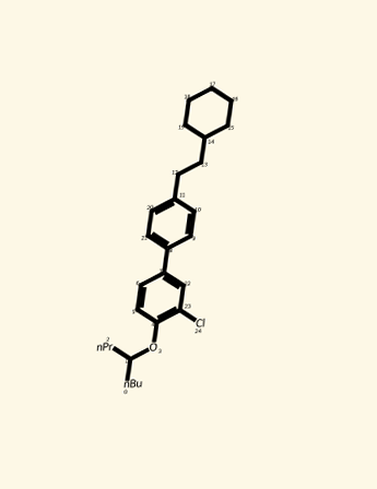 CCCCC(CCC)Oc1ccc(-c2ccc(CCC3CC[CH]CC3)cc2)cc1Cl